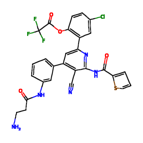 N#Cc1c(-c2cccc(NC(=O)CCN)c2)cc(-c2cc(Cl)ccc2OC(=O)C(F)(F)F)nc1NC(=O)c1cccs1